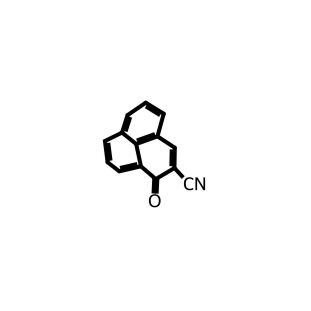 N#CC1=Cc2cccc3cccc(c23)C1=O